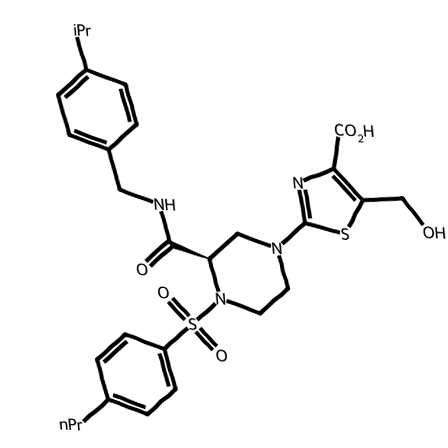 CCCc1ccc(S(=O)(=O)N2CCN(c3nc(C(=O)O)c(CO)s3)C[C@@H]2C(=O)NCc2ccc(C(C)C)cc2)cc1